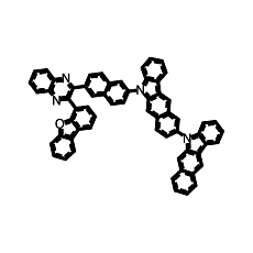 c1ccc2cc3c(cc2c1)c1ccccc1n3-c1ccc2cc3c(cc2c1)c1ccccc1n3-c1ccc2cc(-c3nc4ccccc4nc3-c3cccc4c3oc3ccccc34)ccc2c1